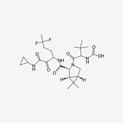 CC(F)(F)CCC(NC(=O)[C@@H]1[C@@H]2[C@H](CN1C(=O)C(NC(=O)O)C(C)(C)C)C2(C)C)C(=O)C(=O)NC1CC1